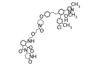 Cc1cc(-c2ccc(CCc3ccc(OC4CCN(C(=O)CCOCCNc5cccc6c5C(=O)N(C5CCC(=O)NC5=O)C6=O)CC4)cc3)c(-c3ccc(Cl)c(C)c3)c2O)n(C)n1